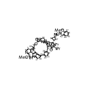 CCn1c(-c2cccnc2[C@H](C)OC)c2c3cc(ccc31)-c1cccc(c1)C[C@H](NC(=O)[C@H](C(C)C)N(C)C(=O)[C@H]1C[C@H](N=C=NCc3ccccc3OC)C1)C(=O)N1CCC[C@H](N1)C(=O)OCC(C)(C)C2